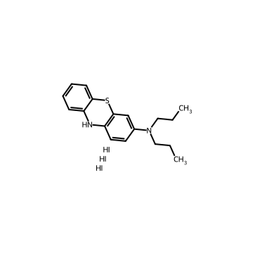 CCCN(CCC)c1ccc2c(c1)Sc1ccccc1N2.I.I.I